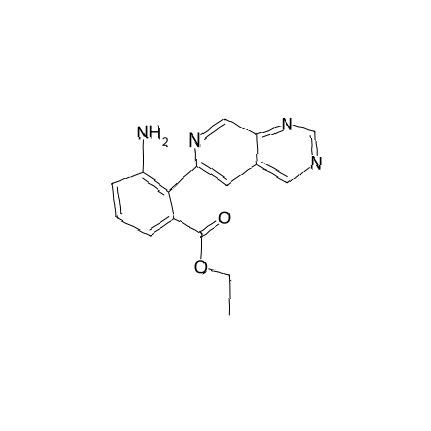 CCOC(=O)c1cccc(N)c1-c1cc2cncnc2cn1